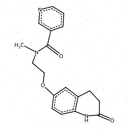 CN(CCOc1ccc2c(c1)CCC(=O)N2)C(=O)c1cccnc1